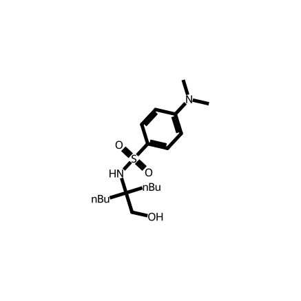 CCCCC(CO)(CCCC)NS(=O)(=O)c1ccc(N(C)C)cc1